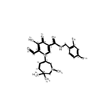 CN1CC(n2cc(C(=O)NCc3ccc(F)cc3F)c(=O)c(O)c2C=O)CCC(C)(C)C1